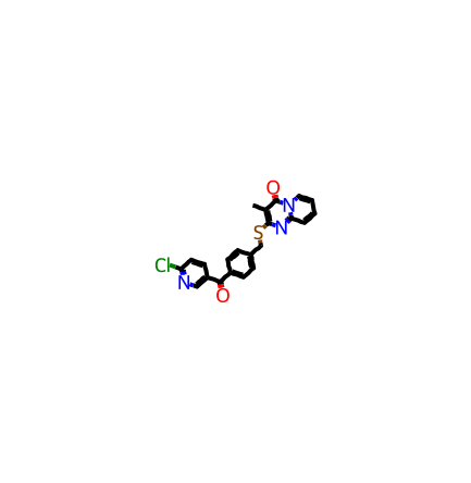 Cc1c(SCc2ccc(C(=O)c3ccc(Cl)nc3)cc2)nc2ccccn2c1=O